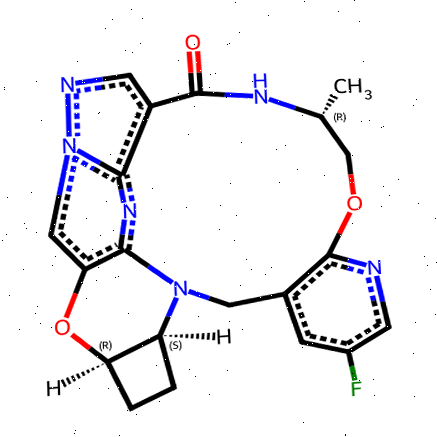 C[C@@H]1COc2ncc(F)cc2CN2c3nc4c(cnn4cc3O[C@@H]3CC[C@@H]32)C(=O)N1